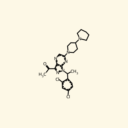 CC(=O)c1nn(C(C)c2ccc(Cl)cc2Cl)c2nc(N3CCC(N4CCCCC4)CC3)cnc12